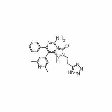 Cc1cc(-c2c(-c3ccccc3)nc(N)[n+]3c(=O)n(CCc4nnn[nH]4)[nH]c23)cc(C)n1